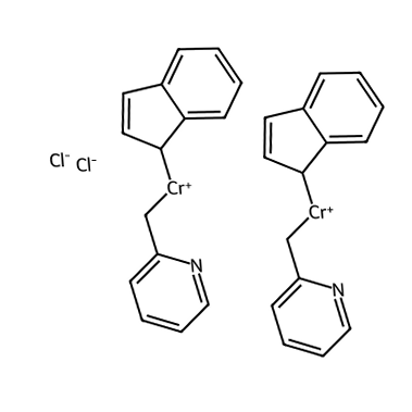 C1=C[CH]([Cr+][CH2]c2ccccn2)c2ccccc21.C1=C[CH]([Cr+][CH2]c2ccccn2)c2ccccc21.[Cl-].[Cl-]